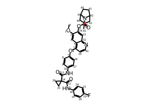 COc1cc2c(Oc3ccc(NC(=O)C4(C(=O)Nc5ccc(F)cc5)CC4)cc3)ccnc2cc1OC(=O)N1C2CCC1CN(C)C2